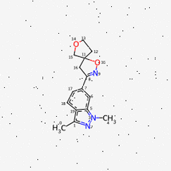 Cc1nn(C)c2cc(C3=NOC4(CCOC4)C3)ccc12